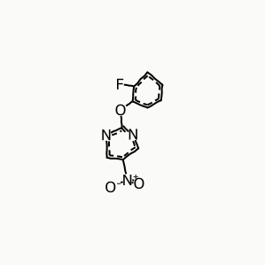 O=[N+]([O-])c1cnc(Oc2ccccc2F)nc1